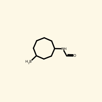 BC1CCCCC(NC=O)CC1